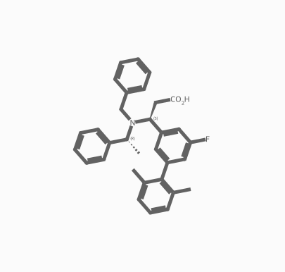 Cc1cccc(C)c1-c1cc(F)cc([C@H](CC(=O)O)N(Cc2ccccc2)[C@H](C)c2ccccc2)c1